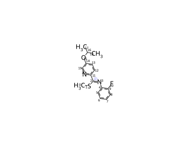 CS/C(=N\c1ccccc1F)c1ccc(OC(C)C)cn1